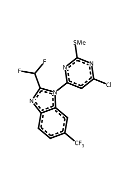 CSc1nc(Cl)cc(-n2c(C(F)F)nc3ccc(C(F)(F)F)cc32)n1